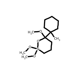 COC1(C2(C)CCCCC2)CCC[Si](OC)(OC)O1